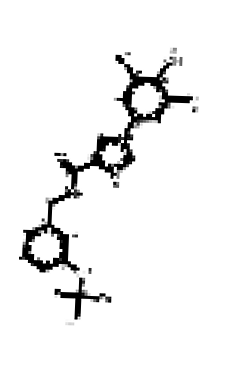 O=C(NCc1cccc(OC(F)(F)F)c1)c1cn(-c2cc(Br)c(O)c(Br)c2)cn1